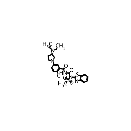 CCN(CC)C1CCN(c2ccc(Cl)c(C(=O)NC(=O)N(c3nc4ccccc4s3)S(C)(=O)=O)c2)C1